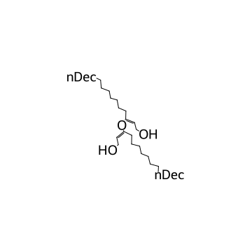 CCCCCCCCCCCCCCCCCC(=CCO)OC(=CCO)CCCCCCCCCCCCCCCCC